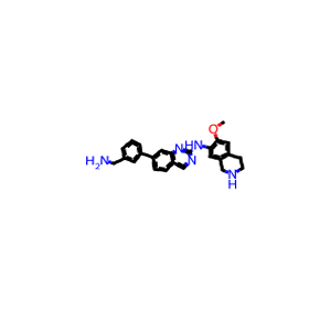 COc1cc2c(cc1Nc1ncc3ccc(-c4cccc(CN)c4)cc3n1)CNCC2